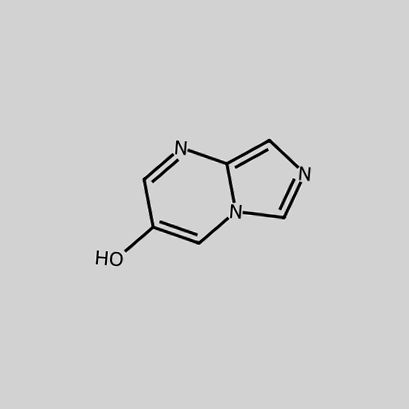 Oc1cnc2cncn2c1